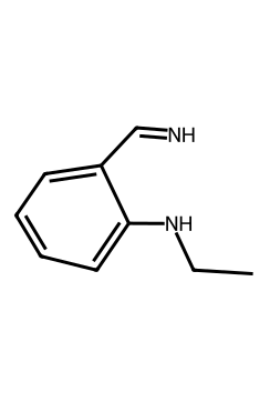 CCNc1ccccc1C=N